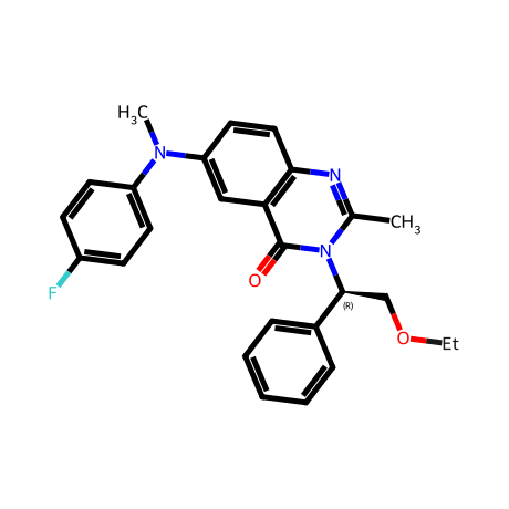 CCOC[C@@H](c1ccccc1)n1c(C)nc2ccc(N(C)c3ccc(F)cc3)cc2c1=O